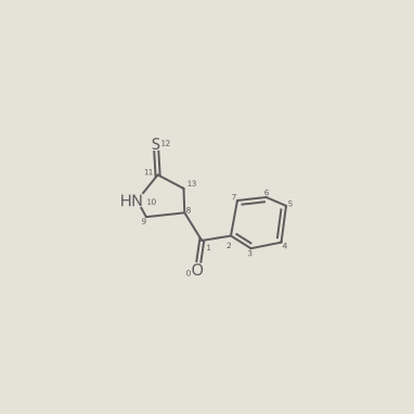 O=C(c1ccccc1)C1CNC(=S)C1